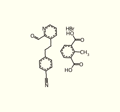 Br.Cc1c(C(=O)O)cccc1C(=O)O.N#Cc1ccc(CCc2cccnc2C=O)cc1